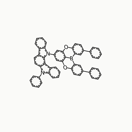 c1ccc(-c2ccc3c(c2)B2c4cc(-c5ccccc5)ccc4Oc4cc(-n5c6ccccc6c6ccc7c(c8ccccc8n7-c7ccccc7)c65)cc(c42)O3)cc1